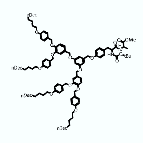 CCCCCCCCCCCCCCOc1ccc(COc2ccc(COc3cc(COc4ccc(CC(NC(=O)OC(C)(C)C)C(=O)NC(C)C(=O)OC)cc4)cc(OCc4ccc(OCc5ccc(OCCCCCCCCCCCCCC)cc5)c(OCc5ccc(OCCCCCCCCCCCCCC)cc5)c4)c3)cc2OCc2ccc(OCCCCCCCCCCCCCC)cc2)cc1